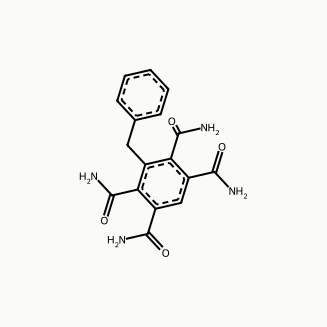 NC(=O)c1cc(C(N)=O)c(C(N)=O)c(Cc2ccccc2)c1C(N)=O